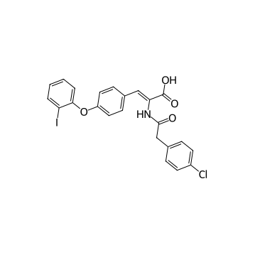 O=C(Cc1ccc(Cl)cc1)N/C(=C\c1ccc(Oc2ccccc2I)cc1)C(=O)O